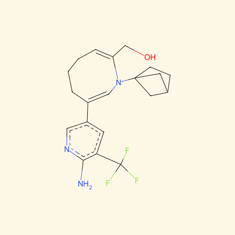 Nc1ncc(/C2=C/N(C34CCC(C3)C4)/C(CO)=C\CCC2)cc1C(F)(F)F